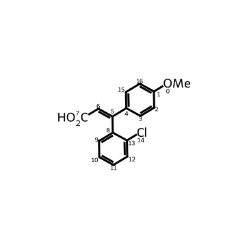 COc1ccc(C(=CC(=O)O)c2ccccc2Cl)cc1